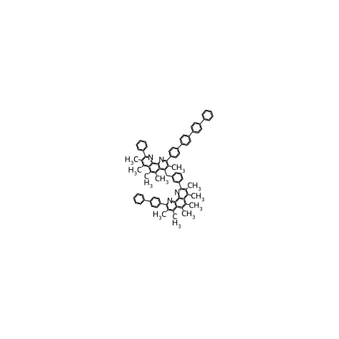 Cc1c(-c2ccc(-c3ccccc3)cc2)nc2c(c1C)c(C)c(C)c1c(C)c(C)c(-c3cccc(Cc4c(C)c(-c5ccc(-c6ccc(-c7ccc(-c8ccccc8)cc7)cc6)cc5)nc5c4c(C)c(C)c4c(C)c(C)c(-c6ccccc6)nc45)c3)nc12